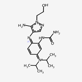 CC(C)[N+](=C1C=C/C(=N/c2cnn(CCO)c2N)C(NC(N)=O)=C1)C(C)C